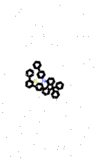 c1ccc(-c2ccc(N(c3cccc4c3-c3ccccc3C4(c3ccccc3)c3ccccc3)c3cccc4c3sc3c(-c5ccccc5)cccc34)cc2)cc1